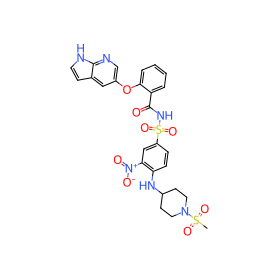 CS(=O)(=O)N1CCC(Nc2ccc(S(=O)(=O)NC(=O)c3ccccc3Oc3cnc4[nH]ccc4c3)cc2[N+](=O)[O-])CC1